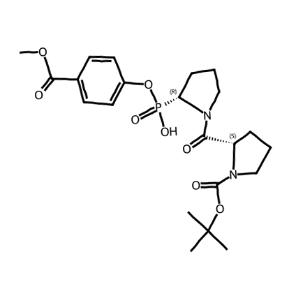 COC(=O)c1ccc(OP(=O)(O)[C@@H]2CCCN2C(=O)[C@@H]2CCCN2C(=O)OC(C)(C)C)cc1